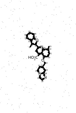 Cc1c(-c2cc(C(=O)O)c3c(OCc4ccn5ccnc5c4)ccc(C)c3n2)oc2ccccc12